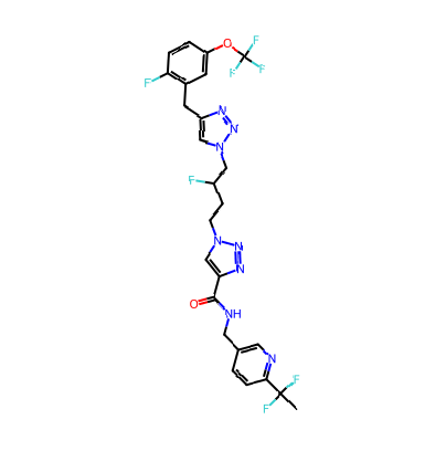 CC(F)(F)c1ccc(CNC(=O)c2cn(CCC(F)Cn3cc(Cc4cc(OC(F)(F)F)ccc4F)nn3)nn2)cn1